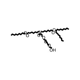 CCCCCCCCCOC(=O)CCCCCCCN(CCCCCCCC(=O)OC(CCCCCCCC)CCCCCCCC)C(=O)CCOCCOCCOCCO